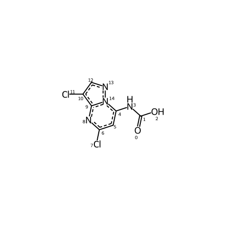 O=C(O)Nc1cc(Cl)nc2c(Cl)cnn12